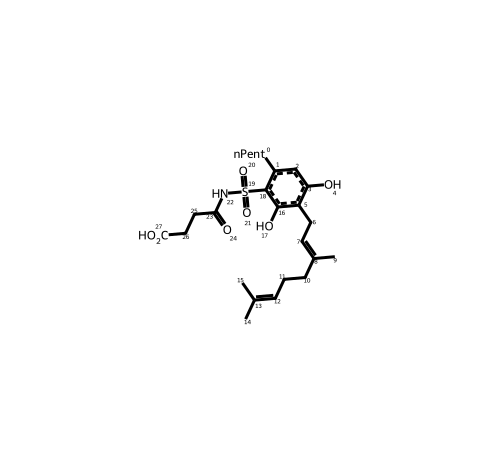 CCCCCc1cc(O)c(C/C=C(\C)CCC=C(C)C)c(O)c1S(=O)(=O)NC(=O)CCC(=O)O